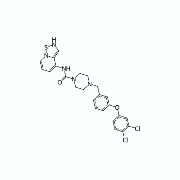 O=C(NC1=CC=CN2SNC=C12)N1CCN(Cc2cccc(Oc3ccc(Cl)c(Cl)c3)c2)CC1